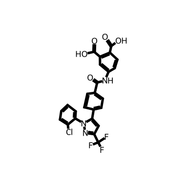 O=C(Nc1ccc(C(=O)O)c(C(=O)O)c1)c1ccc(-c2cc(C(F)(F)F)nn2-c2ccccc2Cl)cc1